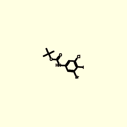 CC(C)(C)OC(=O)Nc1cc(Cl)c(I)c(Br)c1